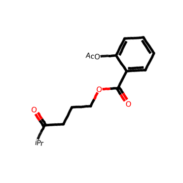 CC(=O)Oc1ccccc1C(=O)OCCCC(=O)C(C)C